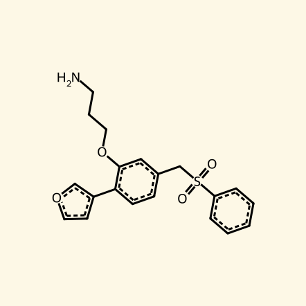 NCCCOc1cc(CS(=O)(=O)c2ccccc2)ccc1-c1ccoc1